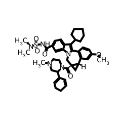 COc1ccc2c(c1)[C@@H]1C[C@]1(C(=O)N1CCN(C)CC1C1=CCCC=C1)Cn1c-2c(C2CCCCC2)c2ccc(C(=O)NS(=O)(=O)N(C)C)cc21